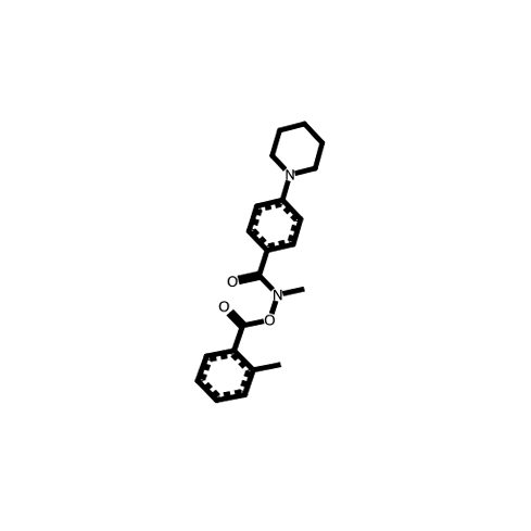 Cc1ccccc1C(=O)ON(C)C(=O)c1ccc(N2CCCCC2)cc1